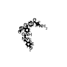 COc1ccc(-c2cnc(C(=O)Nc3ccc(C(=O)N4CCN(C(=O)C56CC(N)(C5)C6)CC4)c(Cl)c3)n2C)c(F)c1F.O=CO